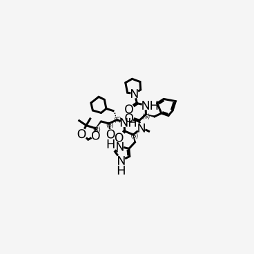 CN(C(=O)[C@H](Cc1ccccc1)NC(=O)N1CCCCC1)[C@@H](Cc1c[nH]cn1)C(=O)N[C@@H](CC1CCCCC1)[C@@H](O)C[C@H]1OCOC1(C)C